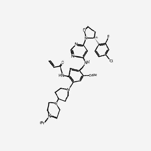 C=CC(=O)Nc1cc(Nc2cc(N3OCC[C@@H]3c3ccc(Cl)cc3F)ncn2)c(OC)cc1N1CCC(N2CCN(C(C)C)CC2)CC1